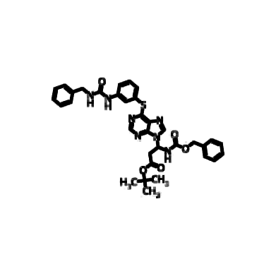 CC(C)(C)OC(=O)CC(NC(=O)OCc1ccccc1)n1cnc2c(Sc3cccc(NC(=O)NCc4ccccc4)c3)ncnc21